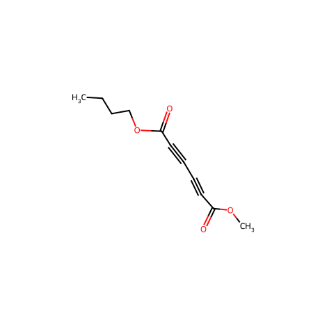 CCCCOC(=O)C#CC#CC(=O)OC